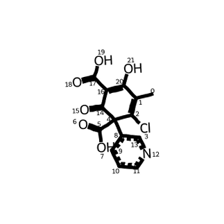 CC1=C(Cl)C(C(=O)O)(c2cccnc2)C(=O)C(C(=O)O)=C1O